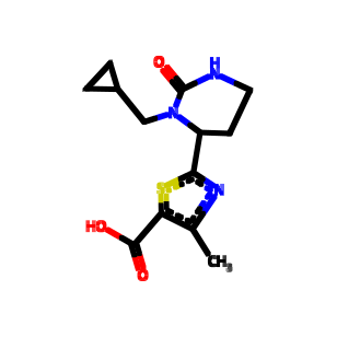 Cc1nc(C2CCNC(=O)N2CC2CC2)sc1C(=O)O